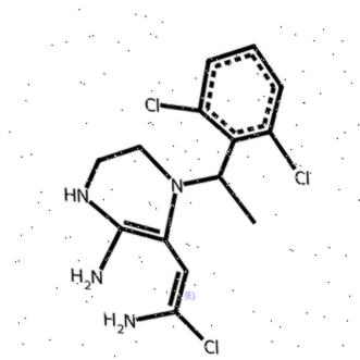 CC(c1c(Cl)cccc1Cl)N1CCNC(N)=C1/C=C(\N)Cl